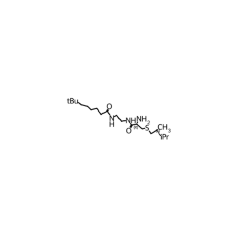 CC(C)[C@H](C)CSC[C@H](N)C(=O)NCCNC(=O)CCCCCC(C)(C)C